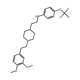 COc1ccc(CCN2CCC(CCNc3ccc(OC(F)(F)F)cc3)CC2)cc1OC